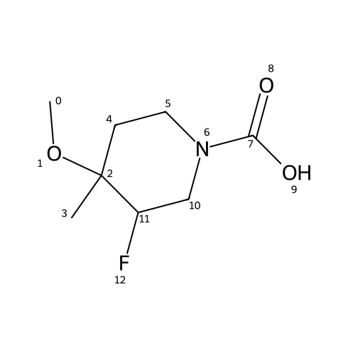 COC1(C)CCN(C(=O)O)CC1F